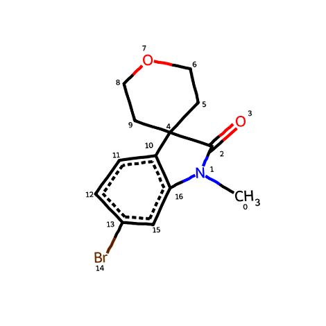 CN1C(=O)C2(CCOCC2)c2ccc(Br)cc21